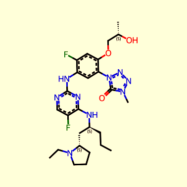 CCC[C@@H](C[C@@H]1CCCN1CC)Nc1nc(Nc2cc(-n3nnn(C)c3=O)c(OC[C@H](C)O)cc2F)ncc1F